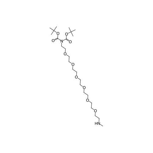 CNCCOCCOCCOCCOCCOCCOCCN(C(=O)OC(C)(C)C)C(=O)OC(C)(C)C